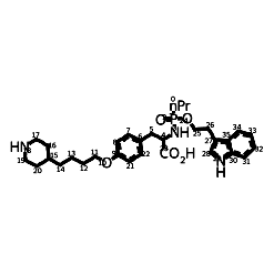 CCCP(=O)(NC(Cc1ccc(OCCCCC2CCNCC2)cc1)C(=O)O)OCCc1c[nH]c2ccccc12